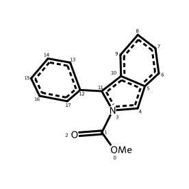 COC(=O)n1cc2ccccc2c1-c1ccccc1